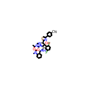 CC(C)NCc1ccccc1N(C)C(=O)OC(C)[n+]1cnn(C[C@](O)(c2cc(F)ccc2F)[C@@H](C)c2nc(-c3ccc(C#N)cc3)cs2)c1